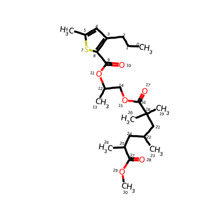 CCCc1cc(C)sc1C(=O)OC(C)COC(=O)C(C)(C)CC(C)CC(C)C(=O)OC